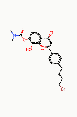 CN(C)C(=O)Oc1ccc2c(=O)cc(-c3ccc(CCCCBr)cc3)oc2c1O